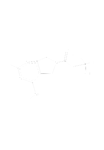 CC(C)(C)OC(=O)N1Cc2nc(Cl)nc(NF)c2C1